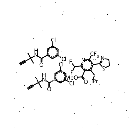 C#CC(C)(C)NC(=O)c1cc(Cl)cc(Cl)c1.C#CC(C)(C)NC(=O)c1cc(Cl)cc(Cl)c1.COC(=O)c1c(C(F)F)nc(C(F)(F)F)c(C2=NCCS2)c1CC(C)C